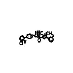 Cc1c(C(=O)NCCN2CCN(c3cccc(Cl)c3F)CC2)cc(-c2ccccc2)n1C